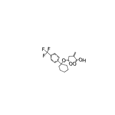 C=C(CC(=O)OC1(c2ccc(C(F)(F)F)cc2)CCCCC1)C(=O)O